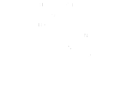 [CH3][Sn]([CH3])([CH3])[c]1cnc(Oc2ccccc2)nc1